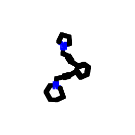 C(#Cc1ccccc1C#CCN1CCCC1)CN1CCCCCC1